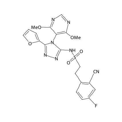 COc1ncnc(OC)c1-n1c(NS(=O)(=O)CCc2ccc(F)cc2C#N)nnc1-c1ccco1